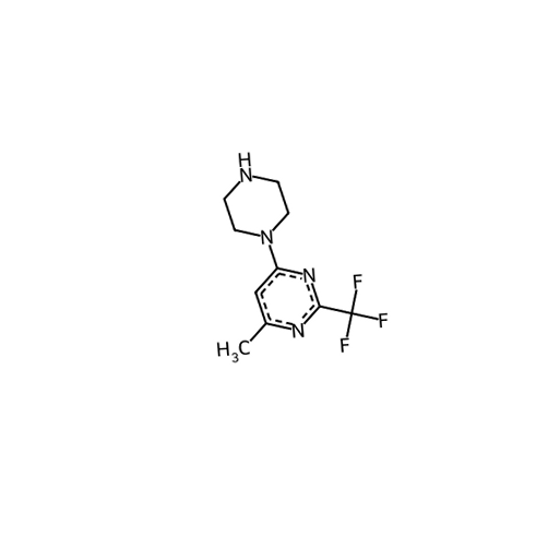 Cc1cc(N2CCNCC2)nc(C(F)(F)F)n1